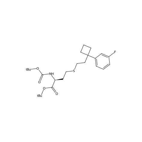 CC(C)(C)OC(=O)N[C@@H](CCSCCC1(c2cccc(F)c2)CCC1)C(=O)OC(C)(C)C